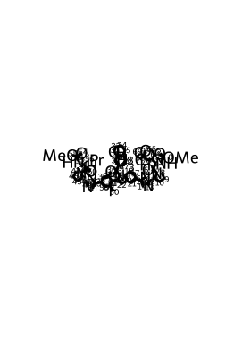 COC(=O)NC(C(=O)N1CCC[C@H]1c1ncc(-c2ccc3c(c2)cc2n3C(c3ccc4c(c3)OCCC4)Oc3cc(-c4cnc([C@@H]5CCCN5C(=O)[C@@H](NC(=O)OC)C(C)C)[nH]4)cc(F)c3-2)[nH]1)C1CCOC(C)(C)C1